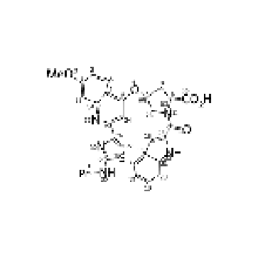 COc1ccc2c(O[C@@H]3C[C@@H](C(=O)O)N(C(=O)c4cc5ccccc5[nH]4)C3)cc(-c3csc(NC(C)C)n3)nc2c1